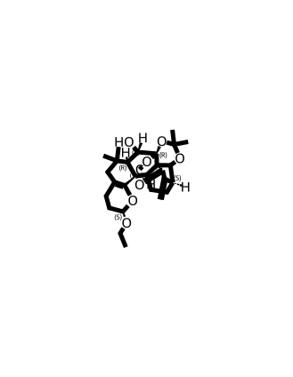 C=C1C(=O)[C@@]23C4OC(C)(C)O[C@]25OC[C@]2(C6=C(CC[C@@H](OCC)O6)CC(C)(C)[C@H]2[C@@H]5O)[C@@H]3CC[C@@H]14